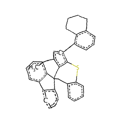 Cc1ccc(-c2cccc3c2CCCC3)c2c1C1(c3ccccc3S2)c2ccccc2-c2ccccc21